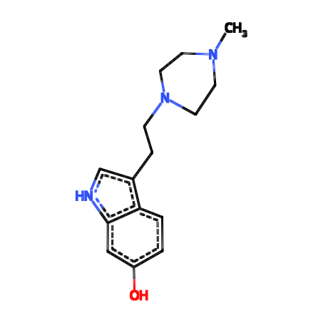 CN1CCN(CCc2c[nH]c3cc(O)ccc23)CC1